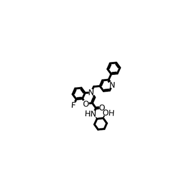 O=C(N[C@H]1CCCC[C@@H]1O)C1=CN(Cc2ccnc(-c3ccccc3)c2)c2cccc(F)c2O1